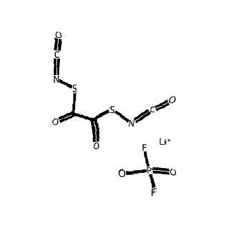 O=C=NSC(=O)C(=O)SN=C=O.O=P([O-])(F)F.[Li+]